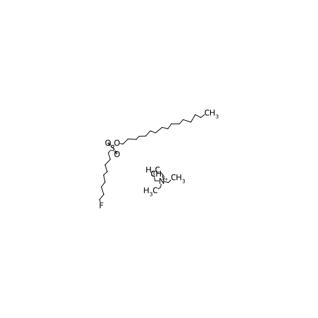 CCCCCCCCCCCCCCCCOS(=O)(=O)CCCCCCCCCF.CC[N+](CC)(CC)CC